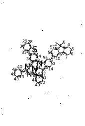 CC1(C)c2ccccc2-c2cc(-c3ccc4c5ccccc5n(-c5cc6sc7ccccc7c6cc5-c5nc(-c6ccccc6)nc(-c6ccccc6)n5)c4c3)ccc21